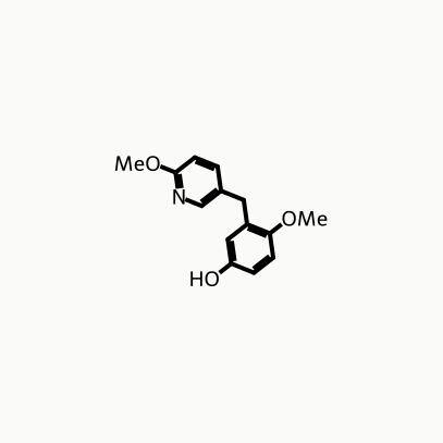 COc1ccc(Cc2cc(O)ccc2OC)cn1